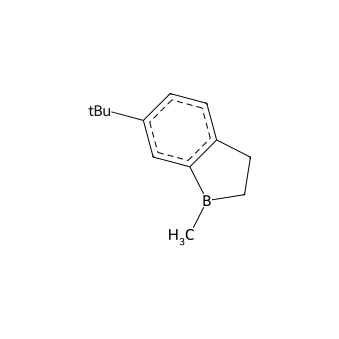 CB1CCc2ccc(C(C)(C)C)cc21